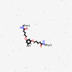 [CH2]CCc1cc(OCCCCC(=O)NCCCCC)cc(OCCCCC(=O)NCCCCC)c1